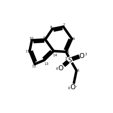 [O]CS(=O)(=O)c1cccc2ccccc12